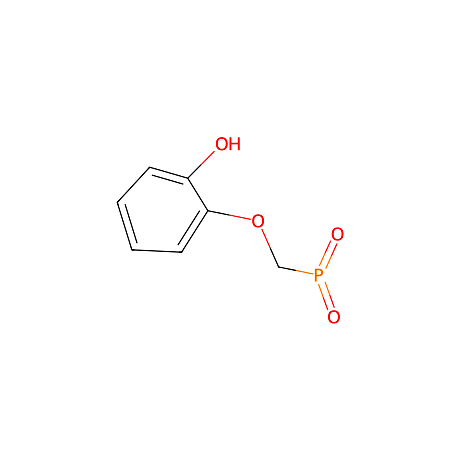 O=P(=O)COc1ccccc1O